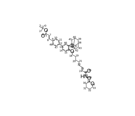 CC(C)(C)OC(=O)C=Cc1ccc(-c2ccc(OCCCCCCCC(=O)NOC3CCCCO3)c(C34CC5CC(CC(C5)C3)C4)c2)cc1